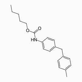 CCCCCOC(=O)Nc1ccc(Cc2ccc(C)cc2)cc1